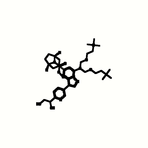 CC(C)(C)OC(=O)N1[C@@H]2CC[C@H]1C[C@@H](c1cc(N(COCC[Si](C)(C)C)COCC[Si](C)(C)C)n3ncc(-c4ccc(C(O)CO)nc4)c3n1)C2